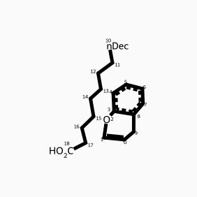 C1=COc2ccccc2C1.CCCCCCCCCCCCCCCCCC(=O)O